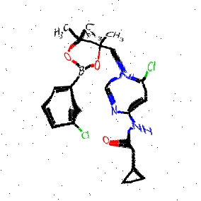 CC1(C)OB(c2cccc(Cl)c2)OC1(C)C[n+]1cnc(NC(=O)C2CC2)cc1Cl